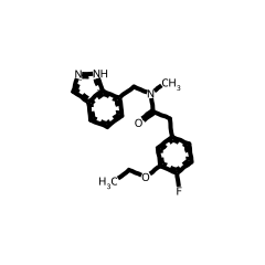 CCOc1cc(CC(=O)N(C)Cc2cccc3cn[nH]c23)ccc1F